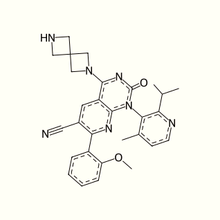 COc1ccccc1-c1nc2c(cc1C#N)c(N1CC3(CNC3)C1)nc(=O)n2-c1c(C)ccnc1C(C)C